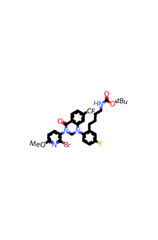 COc1ccc(N2CN(c3ccc(F)cc3CCCCNC(=O)OC(C)(C)C)c3cc(C(F)(F)F)ccc3C2=O)c(Br)n1